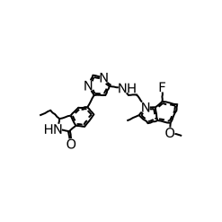 CCC1NC(=O)c2ccc(-c3cc(NCCn4c(C)cc5c(OC)ccc(F)c54)ncn3)cc21